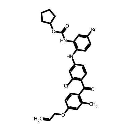 C=CCOc1ccc(C(=O)c2ccc(Nc3ccc(Br)cc3NC(=O)OC3CCCC3)cc2Cl)c(C)c1